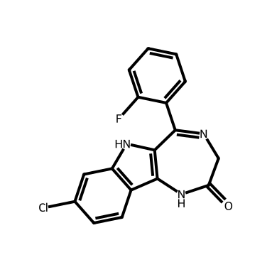 O=C1CN=C(c2ccccc2F)c2[nH]c3cc(Cl)ccc3c2N1